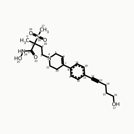 CC(CCN1CC=C(c2ccc(C#CCCCO)cc2)CC1)(C(=O)NO)S(C)(=O)=O